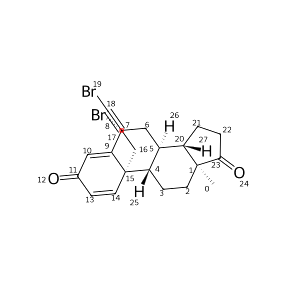 C[C@]12CC[C@H]3[C@@H](C[C@@H](Br)C4=CC(=O)C=C[C@@]43CC#CBr)[C@@H]1CCC2=O